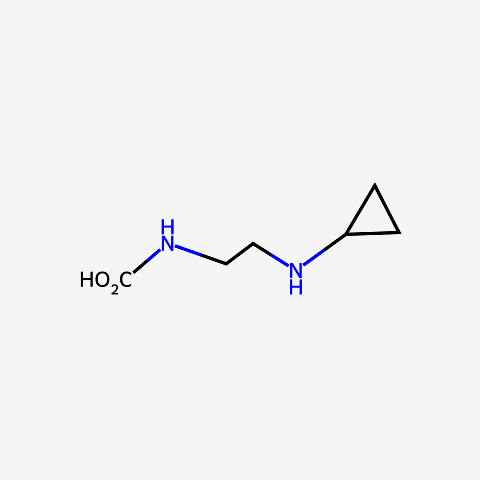 O=C(O)NCCNC1CC1